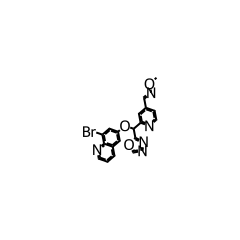 CO/N=C/c1ccnc(C(Oc2cc(Br)c3ncccc3c2)c2nnco2)c1